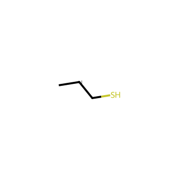 C[C]CS